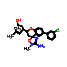 CC(C)=CC(CCO)C1CC2(N=C(N)N(C)O2)c2cc(-c3cccc(Cl)c3)ccc2O1